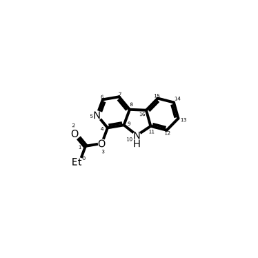 CCC(=O)Oc1nccc2c1[nH]c1ccccc12